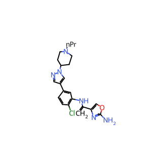 C=C(Nc1cc(-c2cnn(C3CCN(CCC)CC3)c2)ccc1Cl)c1coc(N)n1